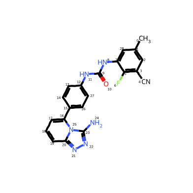 Cc1cc(C#N)c(F)c(NC(=O)Nc2ccc(-c3cccc4nnc(N)n34)cc2)c1